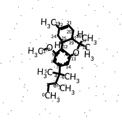 CC[C@@H](C)C(C)(C)c1cc(OC)c2c(c1)OC(C)(C)[C@@H]1CC=C(C)C[C@@H]21